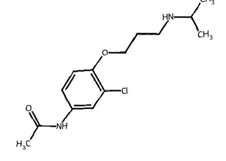 CC(=O)Nc1ccc(OCCCNC(C)C)c(Cl)c1